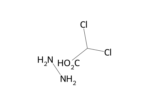 NN.O=C(O)C(Cl)Cl